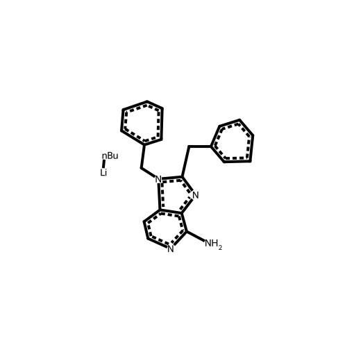 Nc1nccc2c1nc(Cc1ccccc1)n2Cc1ccccc1.[Li][CH2]CCC